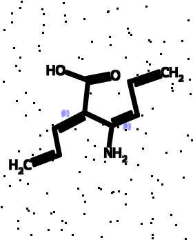 C=C/C=C(N)\C(=C/C=C)C(=O)O